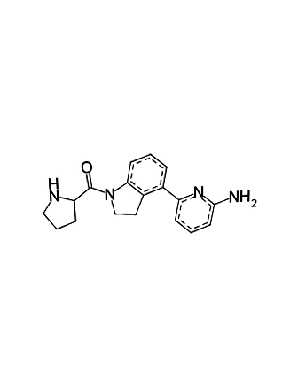 Nc1cccc(-c2cccc3c2CCN3C(=O)C2CCCN2)n1